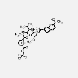 COCCC(C)(/C=C/c1ccc2ccc([C@@H](C)O)nc2c1)C(=O)NC(C(=O)N[C@@H](C)C(=O)N1CCC[C@@H](C(=O)OCC(Cl)(Cl)Cl)N1)C(C)C